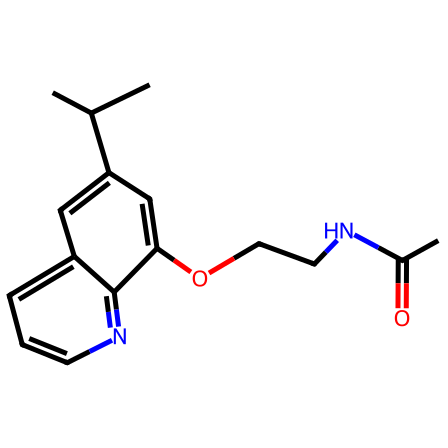 CC(=O)NCCOc1cc(C(C)C)cc2cccnc12